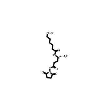 CCCCCCCCCCCCCCCC(=O)N[C@@H](CCC(=O)ON1C(=O)CCC1=O)C(=O)O